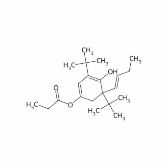 CCC=CC1(C(C)(C)C)CC(OC(=O)CC)=CC(C(C)(C)C)=C1O